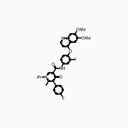 COc1cc2nccc(Oc3ccc(NC(=O)c4cn(C(C)C)c(C)c(-c5ccc(F)cc5)c4=O)cc3F)c2cc1OC